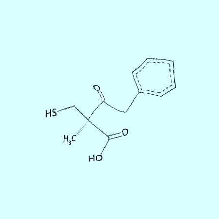 C[C@@](CS)(C(=O)O)C(=O)Cc1ccccc1